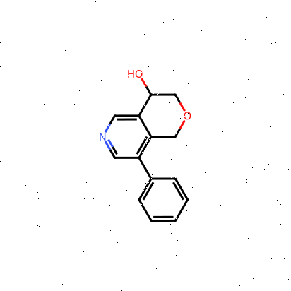 OC1COCc2c(-c3ccccc3)cncc21